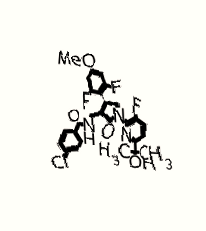 COc1cc(F)c([C@@H]2CN(c3nc(C(C)(C)O)ccc3F)C(=O)C2CNC(=O)c2ccc(Cl)cc2)c(F)c1